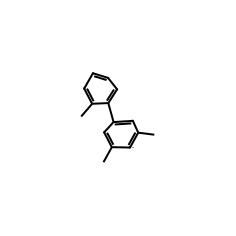 Cc1[c]c(C)cc(-c2ccccc2C)c1